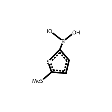 CSc1ccc(B(O)O)s1